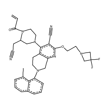 C=CC(=O)N1CCN(c2c(C#N)c(OCCN3CC(F)(F)C3)nc3c2CCN(c2cccc4cccc(C)c24)C3)CC1CC#N